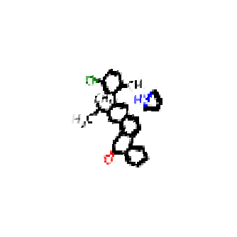 Cc1ccc(Cl)cc1C1=Cc2ccc3c(c2CC1C(C)C)CC(=O)c1ccccc1-3.c1cc[nH]c1